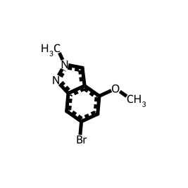 COc1cc(Br)cc2nn(C)cc12